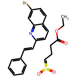 Brc1ccc2ccc(C=Cc3ccccc3)nc2c1.CCOC(=O)CCC=S(=O)=O